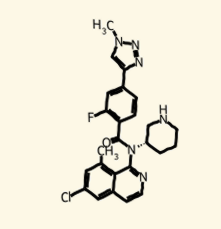 Cc1cc(Cl)cc2ccnc(N(C(=O)c3ccc(-c4cn(C)nn4)cc3F)[C@H]3CCCNC3)c12